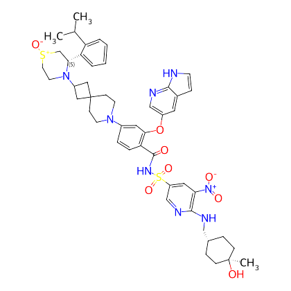 CC(C)c1ccccc1[C@H]1C[S+]([O-])CCN1C1CC2(CCN(c3ccc(C(=O)NS(=O)(=O)c4cnc(NC[C@H]5CC[C@](C)(O)CC5)c([N+](=O)[O-])c4)c(Oc4cnc5[nH]ccc5c4)c3)CC2)C1